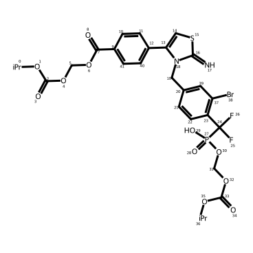 CC(C)OC(=O)OCOC(=O)c1ccc(-c2csc(=N)n2Cc2ccc(C(F)(F)P(=O)(O)OCOC(=O)OC(C)C)c(Br)c2)cc1